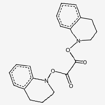 O=C(ON1CCCc2ccccc21)C(=O)ON1CCCc2ccccc21